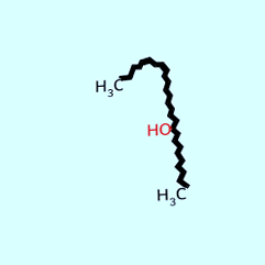 CCCCC/C=C\C/C=C\CCCCCCCCC(O)CCCCCCCCCC